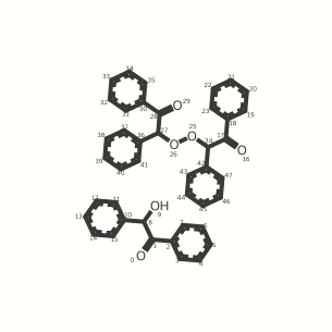 O=C(c1ccccc1)C(O)c1ccccc1.O=C(c1ccccc1)C(OOC(C(=O)c1ccccc1)c1ccccc1)c1ccccc1